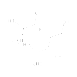 NC(CO)C(=O)O.O=C[C@H](O)[C@@H](O)[C@H](O)CO